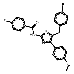 COc1ccc(-c2nc(NC(=O)c3ccc(F)cc3)sc2Cc2ccc(F)cc2)cc1